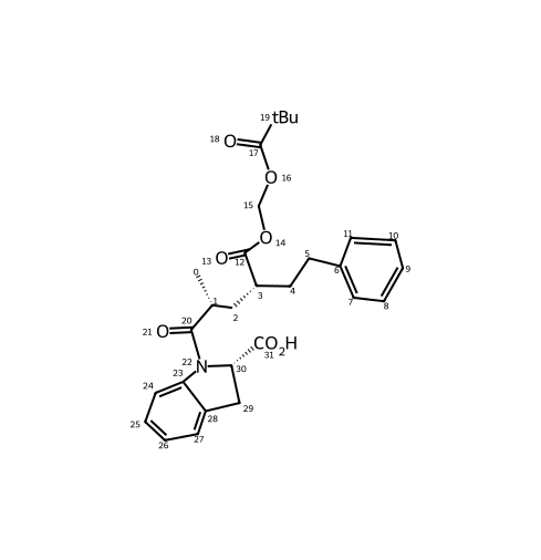 C[C@H](C[C@@H](CCc1ccccc1)C(=O)OCOC(=O)C(C)(C)C)C(=O)N1c2ccccc2C[C@H]1C(=O)O